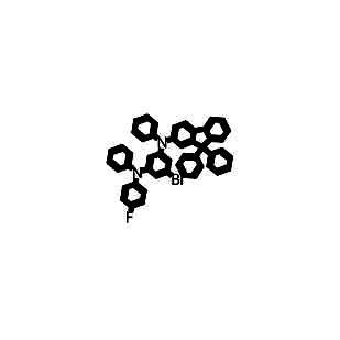 Fc1ccc(N(c2ccccc2)c2cc(Br)cc(N(c3ccccc3)c3ccc4c(c3)C(c3ccccc3)(c3ccccc3)c3ccccc3-4)c2)cc1